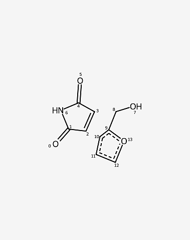 O=C1C=CC(=O)N1.OCc1ccco1